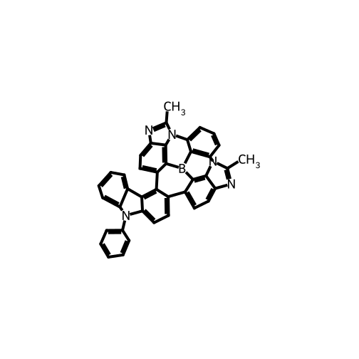 Cc1nc2ccc3c4c2n1-c1cccc2c1B4c1c(ccc4nc(C)n-2c14)-c1c-3ccc2c1c1ccccc1n2-c1ccccc1